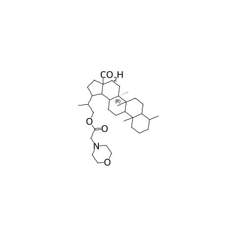 CC(COC(=O)CN1CCOCC1)C1CCC2(C(=O)O)CC[C@]3(C)C(CCC4C5(C)CCCC(C)C5CCC43C)C12